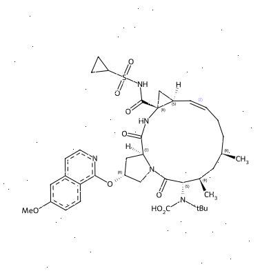 COc1ccc2c(O[C@@H]3C[C@H]4C(=O)N[C@]5(C(=O)NS(=O)(=O)C6CC6)C[C@H]5/C=C\CC[C@@H](C)C[C@@H](C)[C@H](N(C(=O)O)C(C)(C)C)C(=O)N4C3)nccc2c1